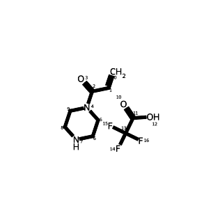 C=CC(=O)N1CCNCC1.O=C(O)C(F)(F)F